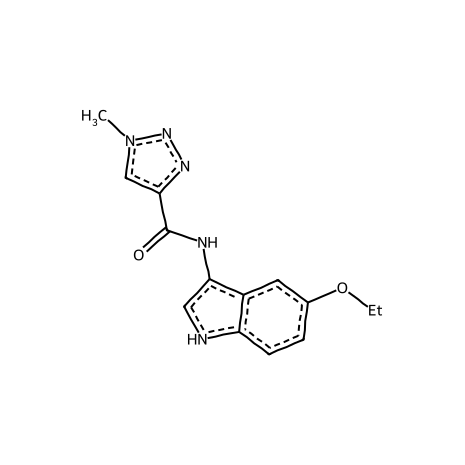 CCOc1ccc2[nH]cc(NC(=O)c3cn(C)nn3)c2c1